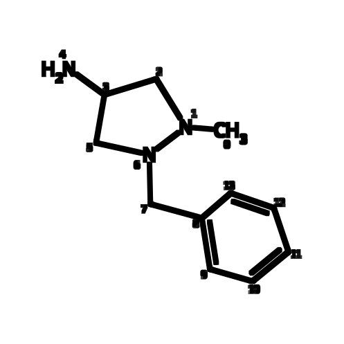 CN1CC(N)CN1Cc1ccccc1